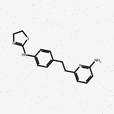 Nc1cccc(CCc2ccc(NC3=NCCS3)cc2)n1